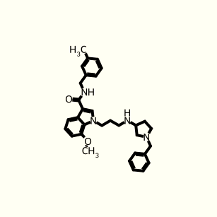 COc1cccc2c(C(=O)NCc3cccc(C)c3)cn(CCCNC3CCN(Cc4ccccc4)C3)c12